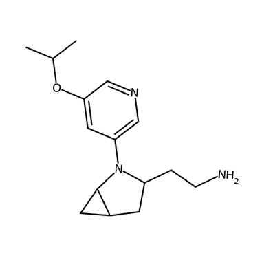 CC(C)Oc1cncc(N2C(CCN)CC3CC32)c1